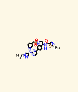 Cn1cc(Nc2nccc(-c3ccc4c(c3)N(S(=O)(=O)Cc3ccccc3)CCC4NC(=O)c3cnc(C(C)(C)C)s3)n2)cn1